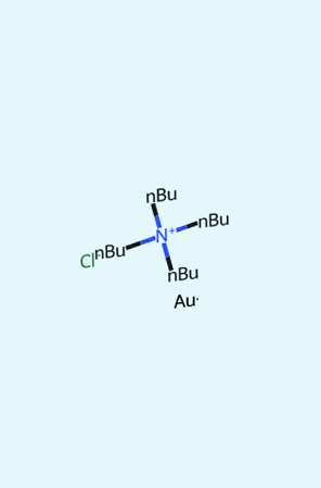 CCCC[N+](CCCC)(CCCC)CCCC.[Au].[Cl-]